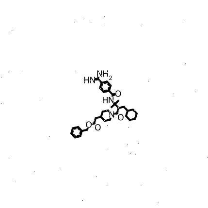 CC(C)(NC(=O)c1ccc(C(=N)N)cc1)C(CC1CCCCC1)C(=O)N1CCC(CC(=O)OCc2ccccc2)CC1